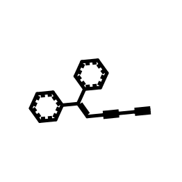 C#CC#CC=C(c1ccccc1)c1ccccc1